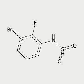 O=[SH](=O)Nc1cccc(Br)c1F